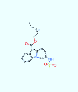 CC/C=C\COC(=O)c1c2ccccc2n2cc(NS(C)(=O)=O)ccc12